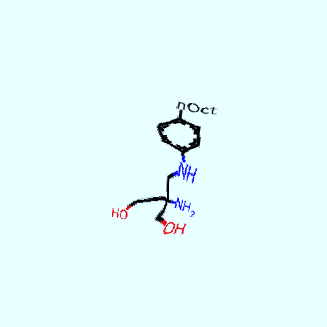 CCCCCCCCc1ccc(NCC(N)(CO)CO)cc1